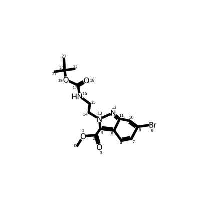 COC(=O)c1c2ccc(Br)cc2nn1CCNC(=O)OC(C)(C)C